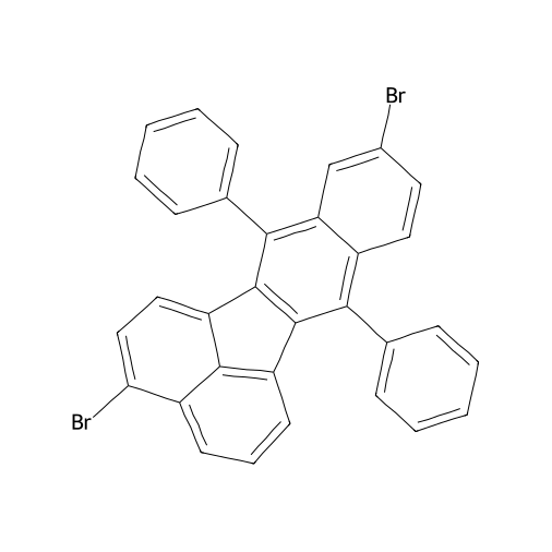 Brc1ccc2c(-c3ccccc3)c3c(c(-c4ccccc4)c2c1)-c1ccc(Br)c2cccc-3c12